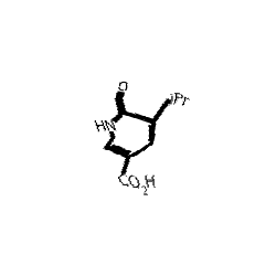 CC(C)c1cc(C(=O)O)c[nH]c1=O